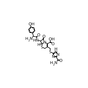 NC(=O)c1n[nH]c(SCC2=C(C(=O)O)N3C(=O)C(NC(=O)C(N)c4ccc(O)cc4)[C@@H]3SC2)n1